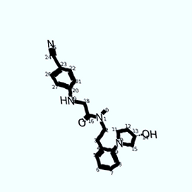 CN(CCc1ccccc1N1CC[C@H](O)C1)C(=O)CNc1ccc(C#N)cc1